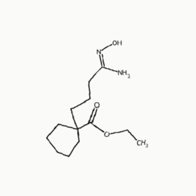 CCOC(=O)C1(CCC/C(N)=N/O)CCCCC1